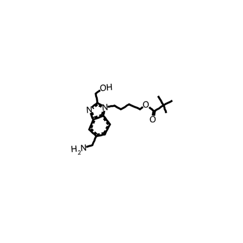 CC(C)(C)C(=O)OCCCCn1c(CO)nc2cc(CN)ccc21